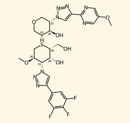 COc1cnc(-c2cn([C@H]3COC[C@@H]([SH]4C[C@H](OC)[C@@H](n5cc(-c6cc(F)c(F)c(F)c6)nn5)[C@@H](O)[C@H]4CO)[C@@H]3O)nn2)nc1